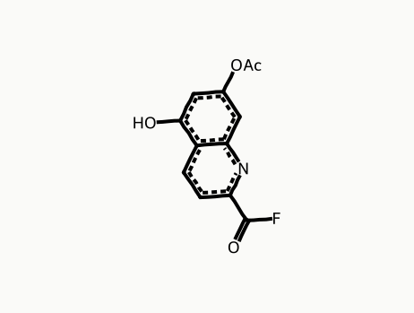 CC(=O)Oc1cc(O)c2ccc(C(=O)F)nc2c1